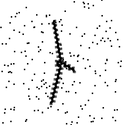 CCCCCCCCCCCCCCCCCN1C=CN(CCCCCCCCCCCCCCCC)C1CCCCCC